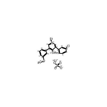 CC[n+]1cc(-c2cccc(Cl)c2)c(SC)c(-c2cccc(OC(C)C)c2)c1.O=S(=O)([O-])[O-].[Li+]